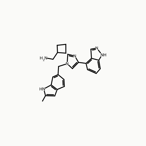 Cc1cc2ccc(Cn3cnc(-c4cccc5[nH]ncc45)c3)cc2[nH]1.NCC1CCC1